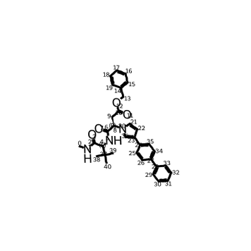 CNC(=O)[C@@H](NC(=O)[C@@H](CC(=O)OCc1ccccc1)n1ccc(-c2ccc(-c3ccccc3)cc2)c1)C(C)(C)C